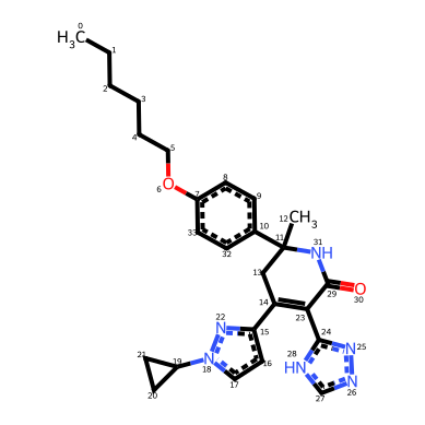 CCCCCCOc1ccc(C2(C)CC(c3ccn(C4CC4)n3)=C(c3nnc[nH]3)C(=O)N2)cc1